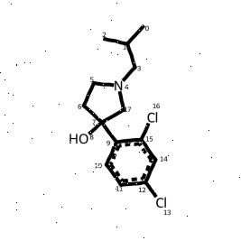 CC(C)CN1CCC(O)(c2ccc(Cl)cc2Cl)C1